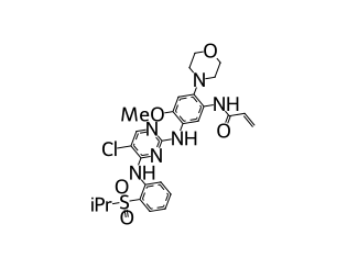 C=CC(=O)Nc1cc(Nc2ncc(Cl)c(Nc3ccccc3S(=O)(=O)C(C)C)n2)c(OC)cc1N1CCOCC1